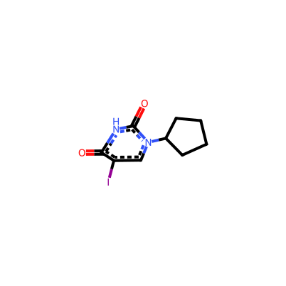 O=c1[nH]c(=O)n(C2CCCC2)cc1I